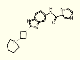 O=C(Nc1ccc2nc([C@H]3C[C@@H](N4CCCCC4)C3)sc2c1)c1cnccn1